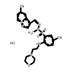 CN(/N=C\c1cnn2ccc(C#N)cc12)S(=O)(=O)c1cc(C#N)ccc1NCCN1CCOCC1.Cl